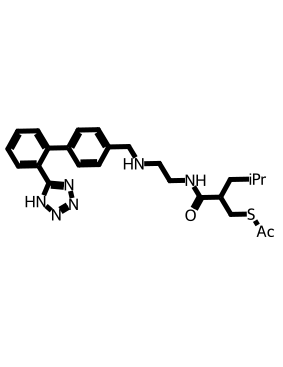 CC(=O)SCC(CC(C)C)C(=O)NCCNCc1ccc(-c2ccccc2-c2nnn[nH]2)cc1